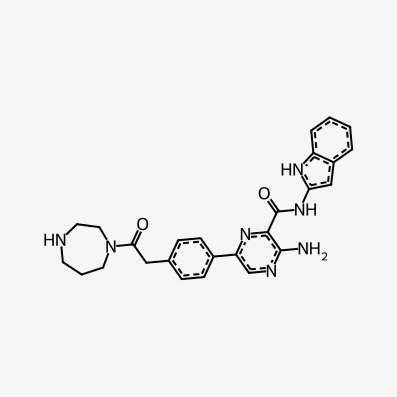 Nc1ncc(-c2ccc(CC(=O)N3CCCNCC3)cc2)nc1C(=O)Nc1cc2ccccc2[nH]1